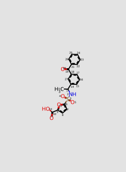 CC(NS(=O)(=O)c1ccc(C(=O)O)o1)c1cccc(C(=O)c2ccccc2)c1